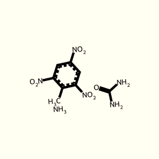 Cc1c([N+](=O)[O-])cc([N+](=O)[O-])cc1[N+](=O)[O-].N.NC(N)=O